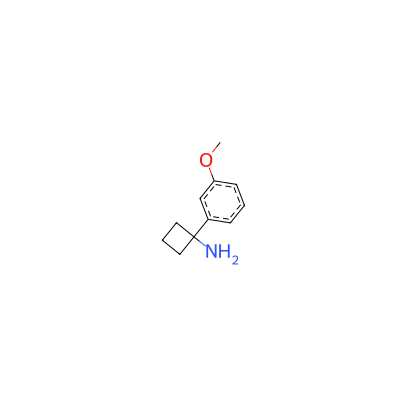 COc1cccc(C2(N)CCC2)c1